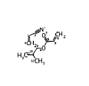 C=CC#N.C=CC(=O)OCC(C)C